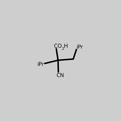 CC(C)CC(C#N)(C(=O)O)C(C)C